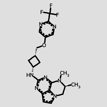 C[C@H]1Cn2ccc3nc(N[C@H]4C[C@@H](COc5cnc(C(F)(F)F)nc5)C4)nc(c32)N1C